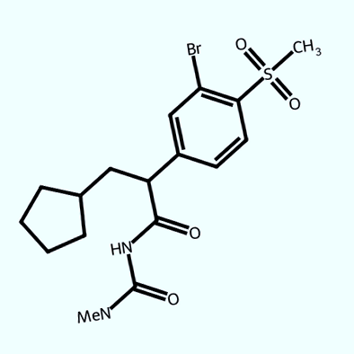 CNC(=O)NC(=O)C(CC1CCCC1)c1ccc(S(C)(=O)=O)c(Br)c1